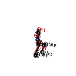 COCCCOc1cc(COC2CN(C(=O)Oc3ccc(CO)cc3)CC[C@@H]2c2ccc(OCCCOCc3ccccc3OC)cc2)cc(OC)c1